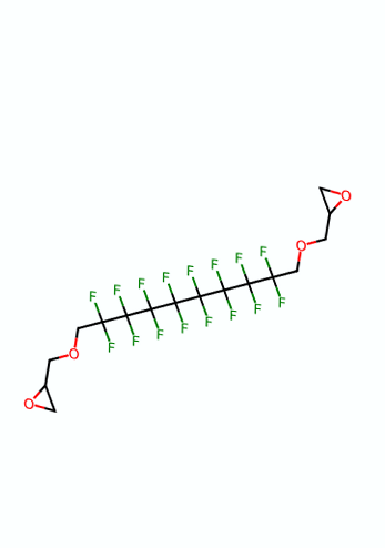 FC(F)(COCC1CO1)C(F)(F)C(F)(F)C(F)(F)C(F)(F)C(F)(F)C(F)(F)C(F)(F)COCC1CO1